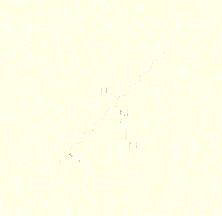 CCCCCCCCC(O)C(CCCCCCCC(=O)OC)NCCCN